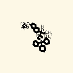 CC(C)C(O)(c1ccc2cc(OS(=O)(=O)C(F)(F)F)ccc2c1)c1cn(C(c2ccccc2)(c2ccccc2)c2ccccc2)cn1